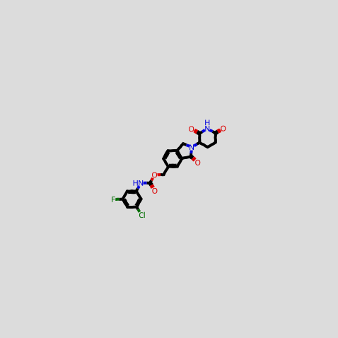 O=C1CCC(N2Cc3ccc(COC(=O)Nc4cc(F)cc(Cl)c4)cc3C2=O)C(=O)N1